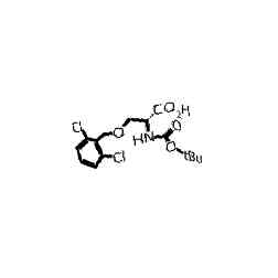 CC(C)(C)OC(=O)N[C@H](COCc1c(Cl)cccc1Cl)C(=O)O